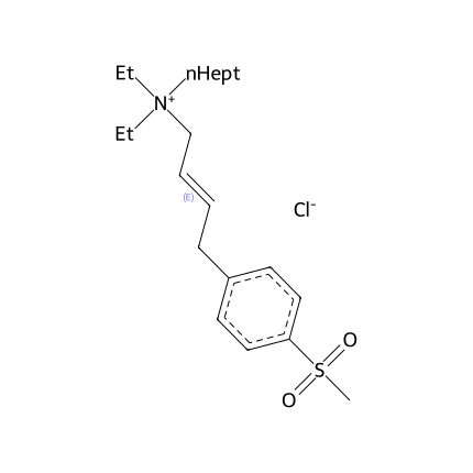 CCCCCCC[N+](CC)(CC)C/C=C/Cc1ccc(S(C)(=O)=O)cc1.[Cl-]